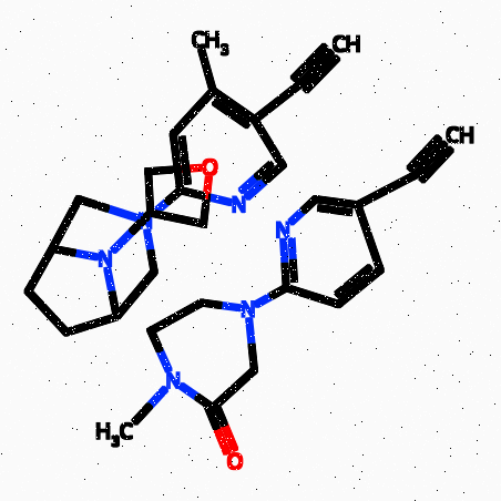 C#Cc1ccc(N2CCN(C)C(=O)C2)nc1.C#Cc1cnc(N2CC3CCC(C2)N3C2COC2)cc1C